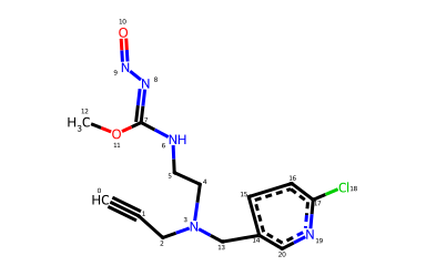 C#CCN(CCN/C(=N/N=O)OC)Cc1ccc(Cl)nc1